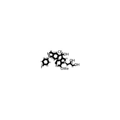 COc1nccc2c(C(O)(c3ccc4c(cnn4-c4ccc(F)cc4)c3)C(F)(F)F)cn(CC(O)CO)c12